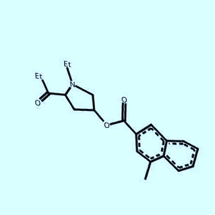 CCC(=O)C1CC(OC(=O)c2cc(C)c3ccccc3c2)CN1CC